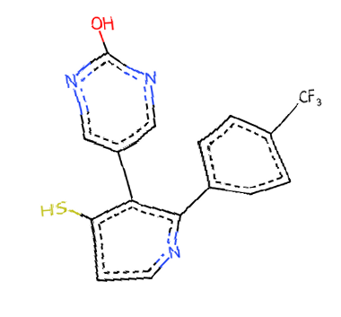 Oc1ncc(-c2c(S)ccnc2-c2ccc(C(F)(F)F)cc2)cn1